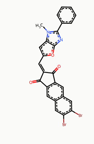 Cn1c(-c2ccccc2)nc2oc(C=C3C(=O)c4cc5cc(Br)c(Br)cc5cc4C3=O)cc21